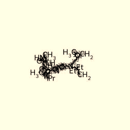 C=CCC(CC)(CC)CCN(CCCCC1CC(=C)CC(C)C1)CCN1CCN(c2ccc(-c3cc(C(=O)NCc4c(C)cc(C)[nH]c4=O)c4c(C)cn(C(C)C)c4c3)cn2)CC1